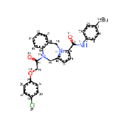 CC(C)(C)c1ccc(NC(=O)c2ccc3n2Cc2ccccc2N(C(=O)COc2ccc(Cl)cc2)C3)cc1